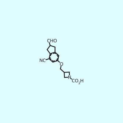 N#Cc1cc(OCC2CN(C(=O)O)C2)cc2c1CC(C=O)C2